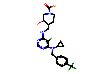 O=C(O)N1CC[C@H](CNc2ncnc(N(Cc3ccc(C(F)(F)F)cc3)C3CC3)c2F)[C@@H](O)C1